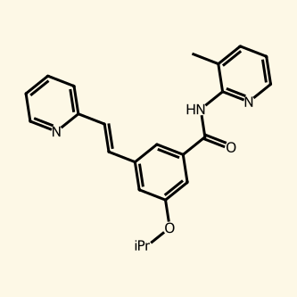 Cc1cccnc1NC(=O)c1cc(C=Cc2ccccn2)cc(OC(C)C)c1